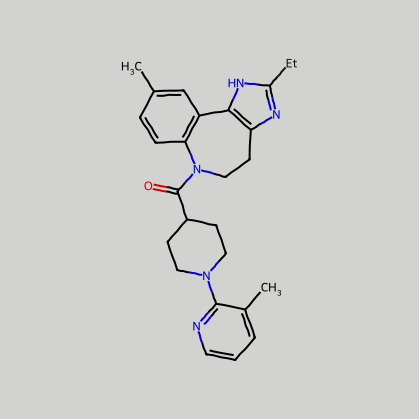 CCc1nc2c([nH]1)-c1cc(C)ccc1N(C(=O)C1CCN(c3ncccc3C)CC1)CC2